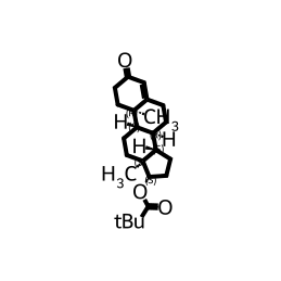 CC(C)(C)C(=O)O[C@H]1CC[C@H]2[C@@H]3CCC4=CC(=O)CC[C@]4(C)[C@H]3CC[C@]12C